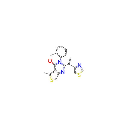 C=C(c1cscn1)c1nc2csc(C)c2c(=O)n1-c1ccccc1C